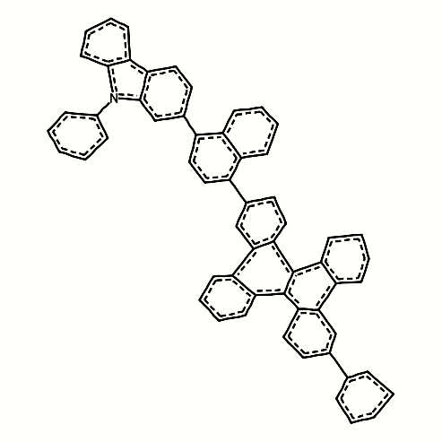 c1ccc(-c2ccc3c(c2)c2ccccc2c2c4ccc(-c5ccc(-c6ccc7c8ccccc8n(-c8ccccc8)c7c6)c6ccccc56)cc4c4ccccc4c32)cc1